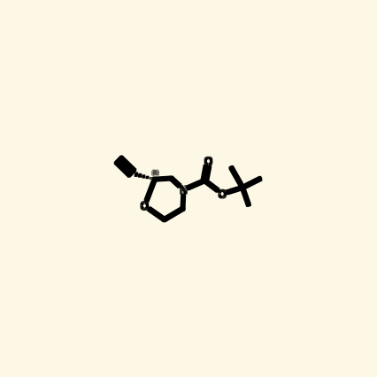 C#C[C@@H]1CN(C(=O)OC(C)(C)C)CCO1